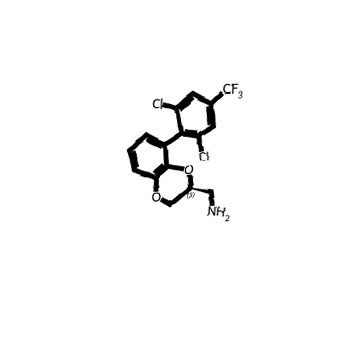 NC[C@H]1COc2cccc(-c3c(Cl)cc(C(F)(F)F)cc3Cl)c2O1